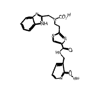 CC(C)(C)Oc1ncccc1CNC(=O)c1csc(CCN(Cc2nc3ccccc3[nH]2)C(=O)O)n1